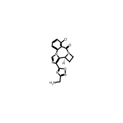 NCc1noc(-c2ncn3c2[C@@H]2CCN2C(=O)c2c(Cl)cccc2-3)n1